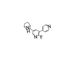 Fc1ncc(C2CC3CCC2N3)cc1-c1ccncc1